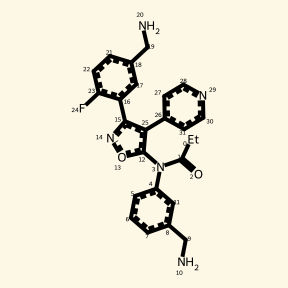 CCC(=O)N(c1cccc(CN)c1)c1onc(-c2cc(CN)ccc2F)c1-c1ccncc1